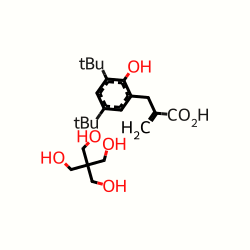 C=C(Cc1cc(C(C)(C)C)cc(C(C)(C)C)c1O)C(=O)O.OCC(CO)(CO)CO